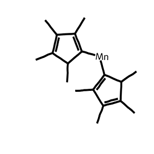 CC1=C(C)C(C)[C]([Mn][C]2=C(C)C(C)=C(C)C2C)=C1C